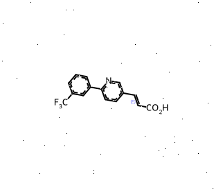 O=C(O)/C=C/c1ccc(-c2cccc(C(F)(F)F)c2)nc1